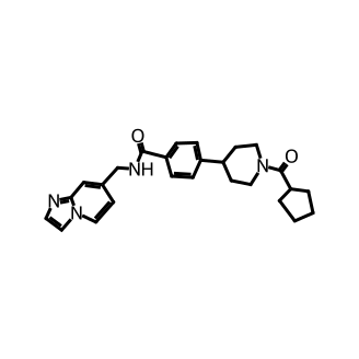 O=C(NCc1ccn2ccnc2c1)c1ccc(C2CCN(C(=O)C3CCCC3)CC2)cc1